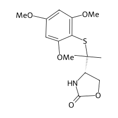 COc1cc(OC)c(SC(C)(C)[C@@H]2COC(=O)N2)c(OC)c1